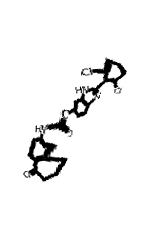 O=C(Nc1ccc2c(c1)CCCC2=O)Oc1ccc2nc(-c3c(Cl)cccc3Cl)[nH]c2c1